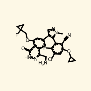 Cn1ncc(-c2cc(OCC3(F)CC3)c3c(=O)[nH]nc(CN)c3c2)c1-c1c(F)c(Cl)cc(OC2CC2)c1C#N